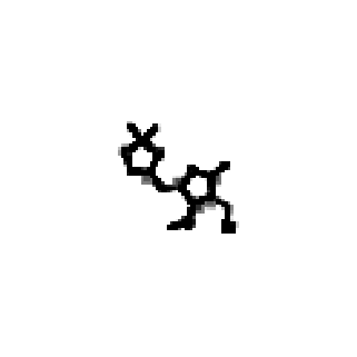 CO[C@@H]1[C@@H](CBr)[C@H](C)O[C@@H]1C[C@H]1COC(C)(C)O1